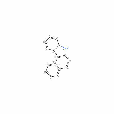 C1=CC2Nc3ccc4ccccc4c3C2C=C1